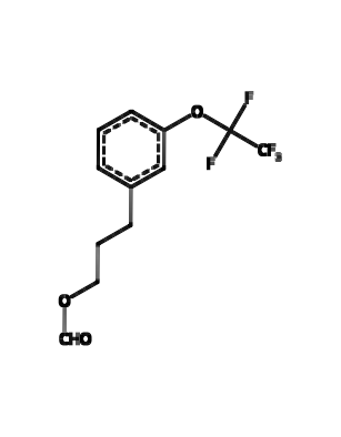 O=COCCCc1cccc(OC(F)(F)C(F)(F)F)c1